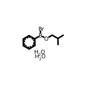 CC(C)COB(Br)c1ccccc1.O.O